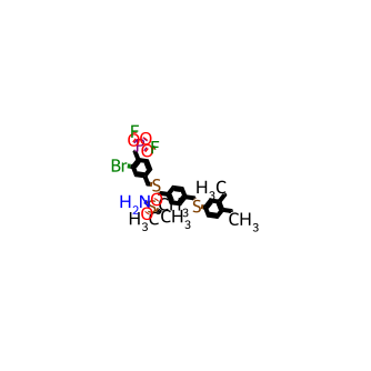 CC(C)(C)S(N)(=O)=O.CCc1ccc(SCc2ccc(CSCc3ccc(CP(=O)(OF)OF)c(Br)c3)cc2)cc1CC